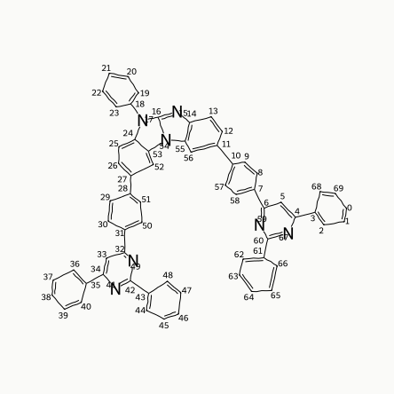 c1ccc(-c2cc(-c3ccc(-c4ccc5nc6n(-c7ccccc7)c7ccc(-c8ccc(-c9cc(-c%10ccccc%10)nc(-c%10ccccc%10)n9)cc8)cc7n6c5c4)cc3)nc(-c3ccccc3)n2)cc1